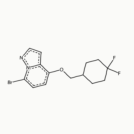 FC1(F)CCC(COc2ccc(Br)n3nccc23)CC1